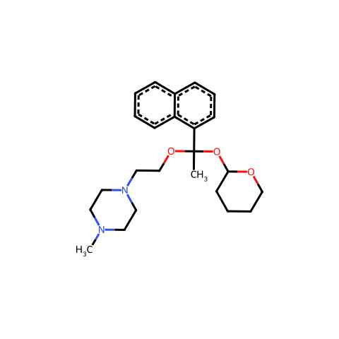 CN1CCN(CCOC(C)(OC2CCCCO2)c2cccc3ccccc23)CC1